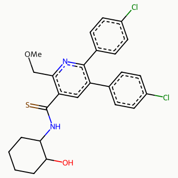 COCc1nc(-c2ccc(Cl)cc2)c(-c2ccc(Cl)cc2)cc1C(=S)NC1CCCCC1O